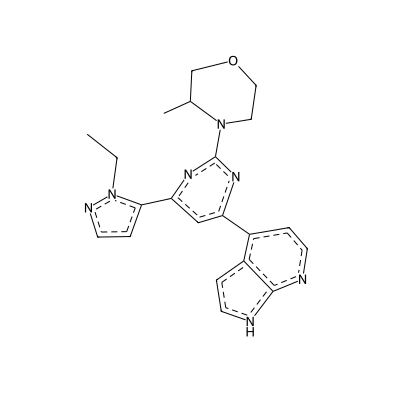 CCn1nccc1-c1cc(-c2ccnc3[nH]ccc23)nc(N2CCOCC2C)n1